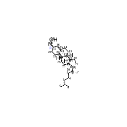 CC(C)CCC[C@@H](C)[C@H]1CC[C@H]2[C@@H]3CCC4=C/C(=N\O)CC[C@]4(C)[C@H]3CC[C@]12C